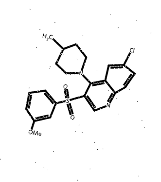 COc1cccc(S(=O)(=O)c2cnc3ccc(Cl)cc3c2N2CCC(C)CC2)c1